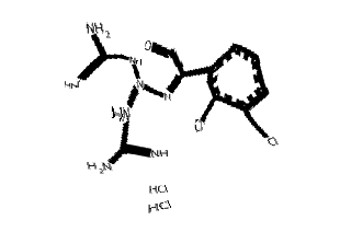 Cl.Cl.N=C(N)NN(N=C(C=O)c1cccc(Cl)c1Cl)NC(=N)N